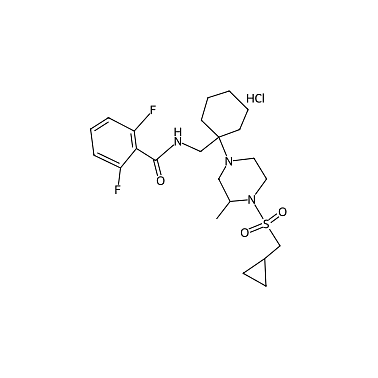 CC1CN(C2(CNC(=O)c3c(F)cccc3F)CCCCC2)CCN1S(=O)(=O)CC1CC1.Cl